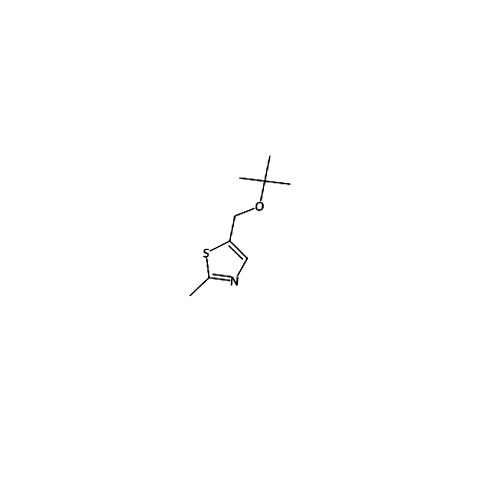 Cc1ncc(COC(C)(C)C)s1